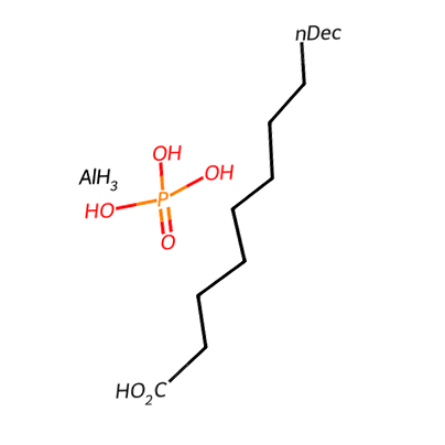 CCCCCCCCCCCCCCCCCC(=O)O.O=P(O)(O)O.[AlH3]